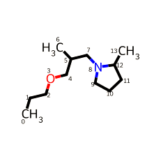 CCCOCC(C)CN1CCCC1C